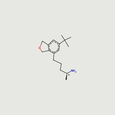 C[C@H](N)CCCc1cc(C(C)(C)C)cc2c1COC2